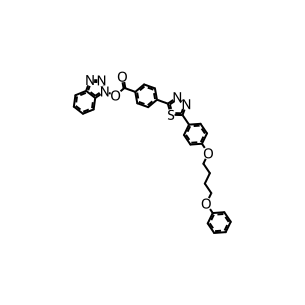 O=C(On1nnc2ccccc21)c1ccc(-c2nnc(-c3ccc(OCCCCOc4ccccc4)cc3)s2)cc1